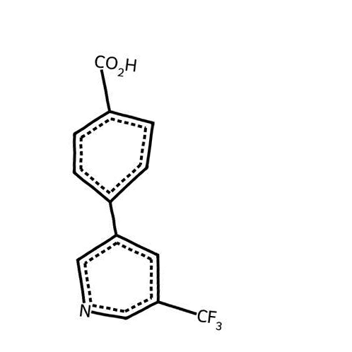 O=C(O)c1ccc(-c2cncc(C(F)(F)F)c2)cc1